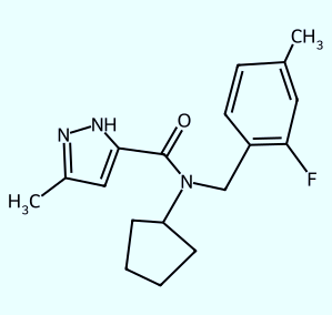 Cc1ccc(CN(C(=O)c2cc(C)n[nH]2)C2CCCC2)c(F)c1